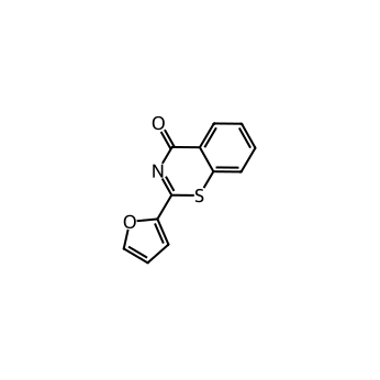 O=c1nc(-c2ccco2)sc2ccccc12